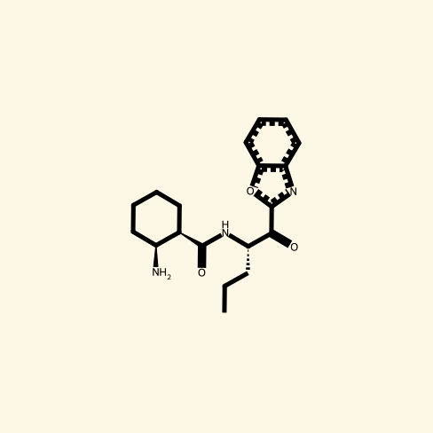 CCC[C@H](NC(=O)[C@@H]1CCCC[C@@H]1N)C(=O)c1nc2ccccc2o1